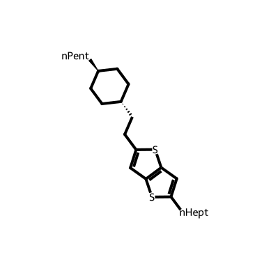 CCCCCCCc1cc2sc(CC[C@H]3CC[C@H](CCCCC)CC3)cc2s1